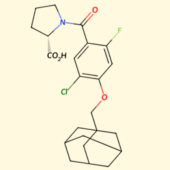 O=C(O)[C@@H]1CCCN1C(=O)c1cc(Cl)c(OCC23CC4CC(CC(C4)C2)C3)cc1F